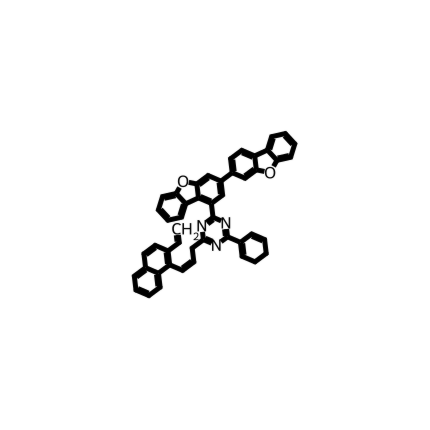 C=Cc1ccc2ccccc2c1/C=C\Cc1nc(C2=CCCC=C2)nc(-c2cc(-c3ccc4c(c3)oc3ccccc34)cc3oc4ccccc4c23)n1